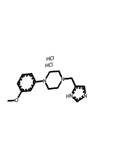 COc1cccc(N2CCN(Cc3cnc[nH]3)CC2)c1.Cl.Cl